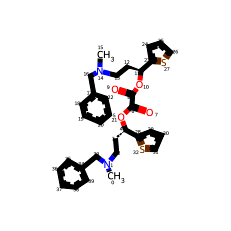 CN(CC[C@H](OC(=O)C(=O)O[C@@H](CCN(C)Cc1ccccc1)c1cccs1)c1cccs1)Cc1ccccc1